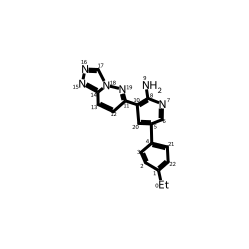 CCc1ccc(-c2cnc(N)c(-c3ccc4nncn4n3)c2)cc1